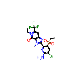 CCn1c(C(F)(F)F)cc2nc(-c3nc(N)c(Br)cc3S(=O)(=O)CC)n(C)c2c1=O